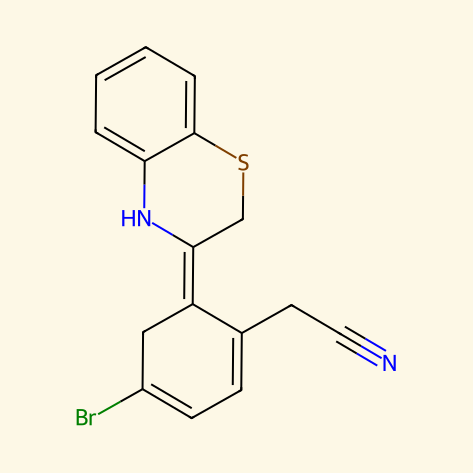 N#CCC1=CC=C(Br)CC1=C1CSc2ccccc2N1